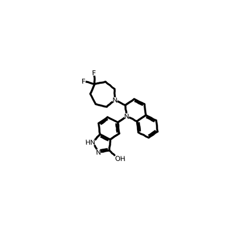 Oc1n[nH]c2ccc(N3c4ccccc4C=CC3N3CCCC(F)(F)CC3)cc12